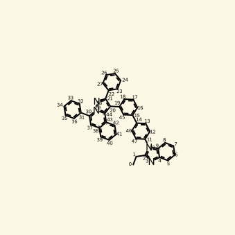 CCc1nc2ccccc2n1-c1ccc(-c2cccc(-c3c(-c4ccccc4)nn4c(-c5ccccc5)cc5ccccc5c34)c2)cc1